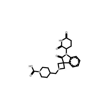 O=C1CCC(N2C(=O)C3(CN(CC4CCN(C(=O)O)CC4)C3)c3ccccc32)C(=O)N1